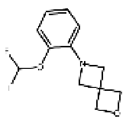 FC(F)Oc1ccccc1N1CC2(COC2)C1